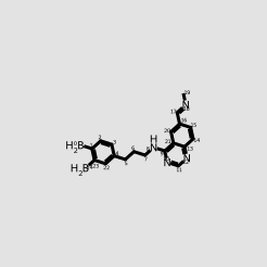 Bc1ccc(CCCNc2ncnc3ccc(C=NC)cc23)cc1B